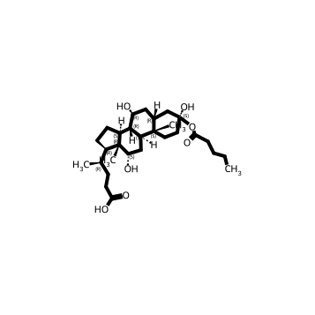 CCCCC(=O)O[C@@]1(O)CC[C@@]2(C)[C@H](C[C@@H](O)[C@@H]3[C@@H]2C[C@H](O)[C@]2(C)[C@@H]([C@H](C)CCC(=O)O)CC[C@@H]32)C1